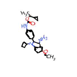 CCOc1ccc2c(c1)C(N)C(c1ccc(NC(=O)O[C@H](C)C3CC3)cc1)N2C1CCC1